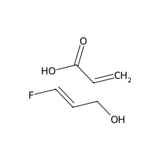 C=CC(=O)O.OCC=CF